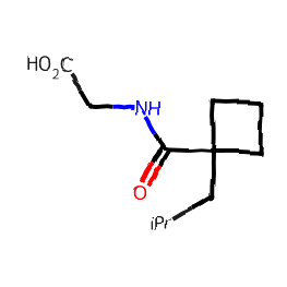 CC(C)CC1(C(=O)NCC(=O)O)CCC1